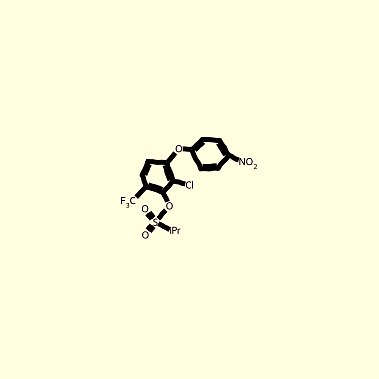 CC(C)S(=O)(=O)Oc1c(C(F)(F)F)ccc(Oc2ccc([N+](=O)[O-])cc2)c1Cl